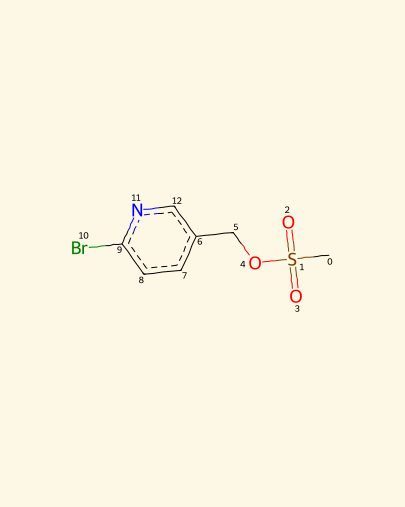 CS(=O)(=O)OCc1ccc(Br)nc1